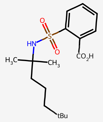 CC(C)(C)CCCC(C)(C)NS(=O)(=O)c1ccccc1C(=O)O